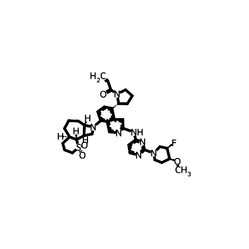 C=CC(=O)N1CCC[C@@H]1c1ccc(N2C[C@H]3[C@H]4[C@H](CCC[C@@H]32)CCCS4(=O)=O)c2cnc(Nc3ccnc(N4CC[C@H](OC)[C@H](F)C4)n3)cc12